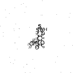 CC1Oc2ccc(C=C3SC(=S)NC3=O)cc2N(C2CC3C=CC2C3)C1=O